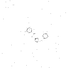 O=C(Nc1cn(Cc2cccc(Cl)c2)cn1)c1cccc(O)c1